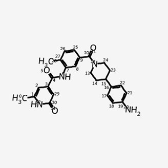 Cc1cc(C(=O)Nc2cc(C(=O)N3CCC(c4ccc(N)cc4)CC3)ccc2C)cc(=O)[nH]1